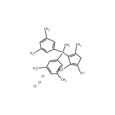 CC1=C([Si](C)(c2cc(C)cc(C)c2)c2cc(C)cc(C)c2)C(C)=[C]([Ti+3])C1.[Cl-].[Cl-].[Cl-]